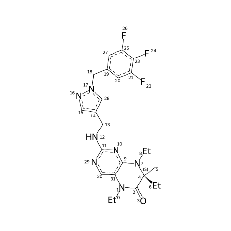 CCN1C(=O)[C@](C)(CC)N(CC)c2nc(NCc3cnn(Cc4cc(F)c(F)c(F)c4)c3)ncc21